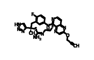 C#CCOc1cnc2c(Nc3ccc(F)c(C[C@@](C)(S/C(N)=N\CCF)c4c[nH]nn4)c3)nccc2n1